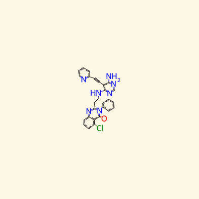 Nc1ncnc(NCCc2nc3cccc(Cl)c3c(=O)n2-c2ccccc2)c1C#Cc1ccccn1